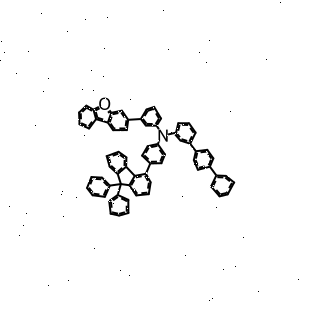 c1ccc(-c2ccc(-c3cccc(N(c4ccc(-c5cccc6c5-c5ccccc5C6(c5ccccc5)c5ccccc5)cc4)c4cccc(-c5ccc6c(c5)oc5ccccc56)c4)c3)cc2)cc1